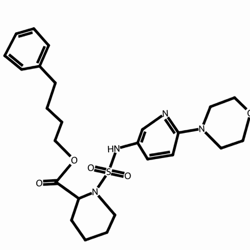 O=C(OCCCCc1ccccc1)C1CCCCN1S(=O)(=O)Nc1ccc(N2CCOCC2)nc1